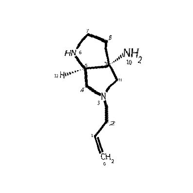 C=CCN1C[C@H]2NCC[C@@]2(N)C1